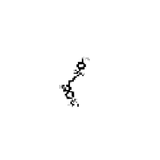 Cc1ccc(S(=O)(=O)OCCCC2CC3(CCN(S(C)(=O)=O)CC3)C(=O)N2)cc1